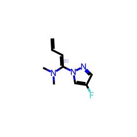 C=C/C=C(\N(C)C)n1cc(F)cn1